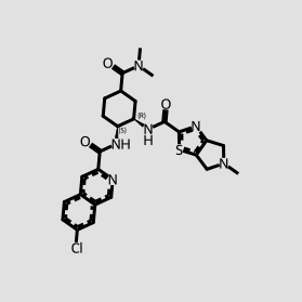 CN1Cc2nc(C(=O)N[C@@H]3CC(C(=O)N(C)C)CC[C@@H]3NC(=O)c3cc4ccc(Cl)cc4cn3)sc2C1